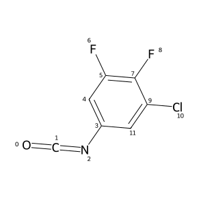 O=C=Nc1cc(F)c(F)c(Cl)c1